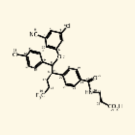 N#Cc1cc(Cl)cc(OC(c2ccc(Cl)cc2)[C@H](CCC(F)(F)F)c2ccc(C(=O)NCCC(=O)O)cc2)c1